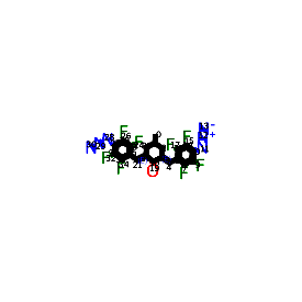 CC1C/C(=C\c2c(F)c(F)c(N=[N+]=[N-])c(F)c2F)C(=O)/C(=C/c2c(F)c(F)c(N=[N+]=[N-])c(F)c2F)C1